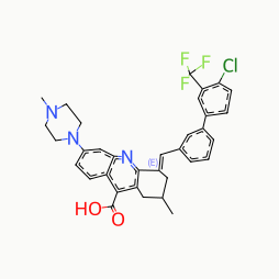 CC1C/C(=C\c2cccc(-c3ccc(Cl)c(C(F)(F)F)c3)c2)c2nc3cc(N4CCN(C)CC4)ccc3c(C(=O)O)c2C1